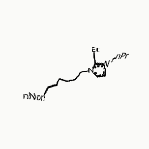 CCCCCCCCCCCCCCn1cc[n+](CCC)c1CC